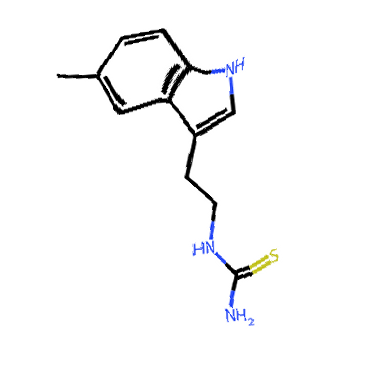 Cc1ccc2[nH]cc(CCNC(N)=S)c2c1